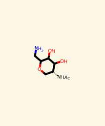 CC(=O)N[C@@H]1COC(CN)C(O)C1O